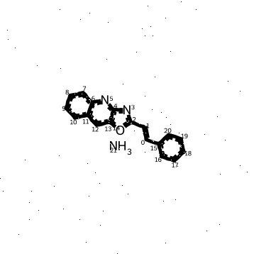 C(=Cc1nc2nc3ccccc3cc2o1)c1ccccc1.N